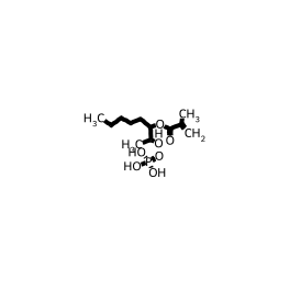 C=C(C)C(=O)OC(CCCCC)C(C)O.O=P(O)(O)O